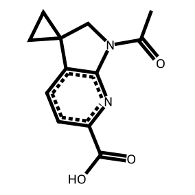 CC(=O)N1CC2(CC2)c2ccc(C(=O)O)nc21